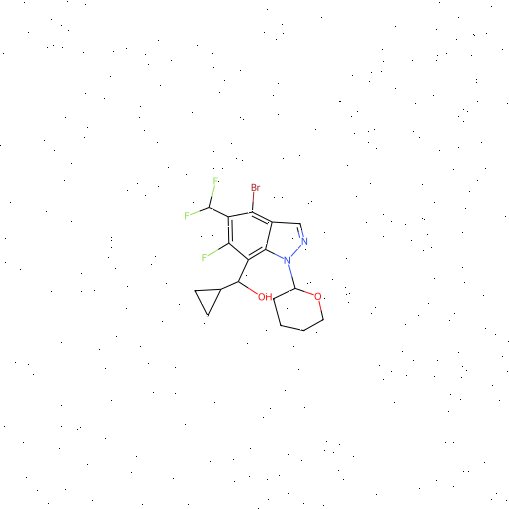 OC(c1c(F)c(C(F)F)c(Br)c2cnn(C3CCCCO3)c12)C1CC1